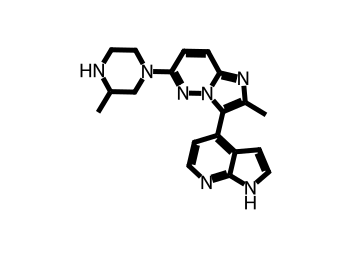 Cc1nc2ccc(N3CCNC(C)C3)nn2c1-c1ccnc2[nH]ccc12